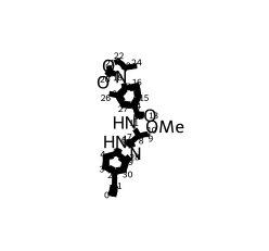 C#Cc1ccc2[nH]c(C(COC)NC(=O)c3ccc(N4C(=O)OCC4C)c(C)c3)nc2c1